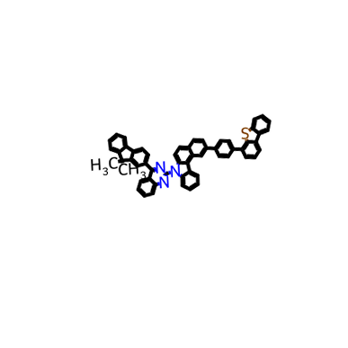 CC1(C)c2ccccc2-c2ccc(-c3nc(-n4c5ccccc5c5c6cc(-c7ccc(-c8cccc9c8sc8ccccc89)cc7)ccc6ccc54)nc4ccccc34)cc21